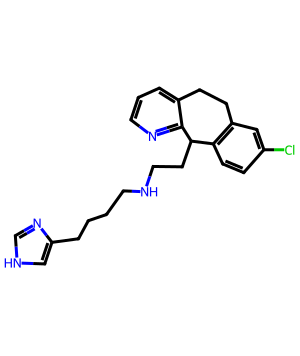 Clc1ccc2c(c1)CCc1cccnc1C2CCNCCCCc1c[nH]cn1